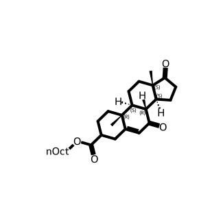 CCCCCCCCOC(=O)C1CC[C@@]2(C)C(=CC(=O)[C@@H]3[C@@H]2CC[C@]2(C)C(=O)CC[C@@H]32)C1